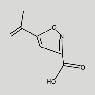 C=C(C)c1cc(C(=O)O)no1